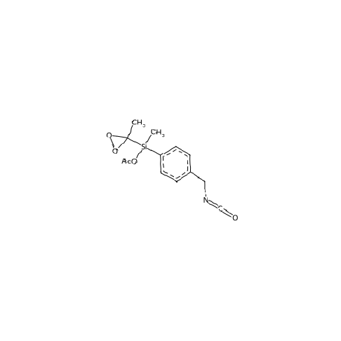 CC(=O)O[Si](C)(c1ccc(CN=C=O)cc1)C1(C)OO1